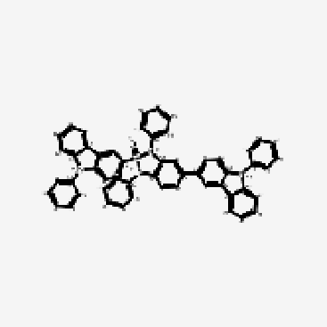 O=P1(c2ccc3c(c2)c2ccccc2n3-c2ccccc2)N(c2ccccc2)c2ccc(-c3ccc4c(c3)c3ccccc3n4-c3ccccc3)cc2N1c1ccccc1